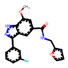 COc1cc(C(=O)NCc2ccco2)cc2c(-c3cccc(F)c3)n[nH]c12